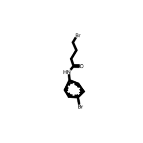 O=C(CCCBr)Nc1ccc(Br)cc1